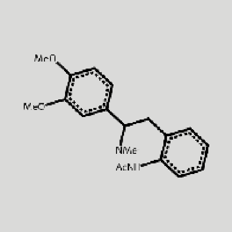 C[N]C(Cc1ccccc1NC(C)=O)c1ccc(OC)c(OC)c1